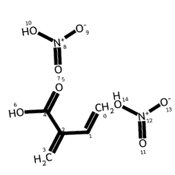 C=CC(=C)C(=O)O.O=[N+]([O-])O.O=[N+]([O-])O